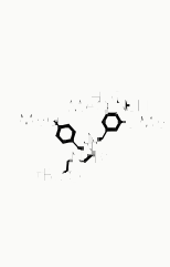 COc1ccc(-c2n(/N=C/c3cc(OC)c(N(C)C)c(OC)c3)cc[n+]2CC(=O)C(C)(C)C)cc1.[Br-]